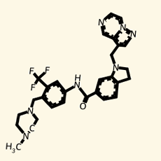 CN1CCN(Cc2ccc(NC(=O)c3ccc4c(c3)N(Cc3cnn5ccncc35)CC4)cc2C(F)(F)F)CC1